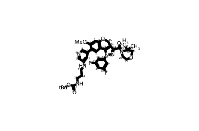 COc1cc2c(cc1-c1cncc(NCCCNC(=O)OC(C)(C)C)c1)-c1c(c(C(=O)N3CCOCC3(C)C)nn1-c1cc(F)cc(F)c1)CO2